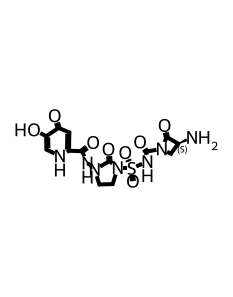 N[C@H]1CN(C(=O)NS(=O)(=O)N2CCN(NC(=O)c3cc(=O)c(O)c[nH]3)C2=O)C1=O